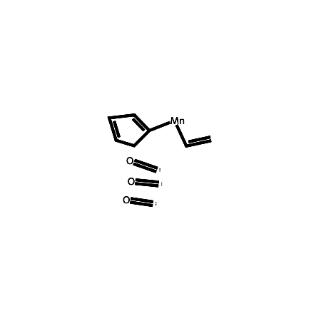 C=[CH][Mn][C]1=CC=CC1.[C]=O.[C]=O.[C]=O